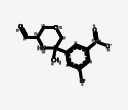 CC1(c2cc(Br)cc([N+](=O)[O-])c2)COCC(C=O)N1